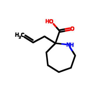 C=CCC1(C(=O)O)CCCCCN1